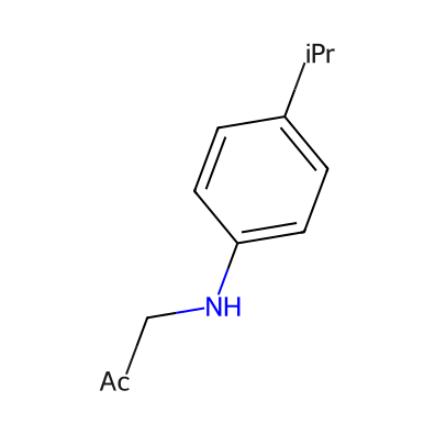 CC(=O)CNc1ccc(C(C)C)cc1